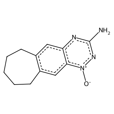 Nc1nc2cc3c(cc2[n+]([O-])n1)CCCCC3